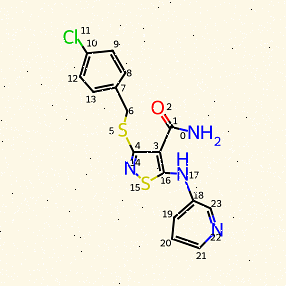 NC(=O)c1c(SCc2ccc(Cl)cc2)nsc1Nc1cccnc1